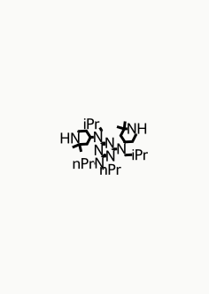 CCCN(CCC)c1nc(N(CC(C)C)C2CCNC(C)(C)C2)nc(N(CC(C)C)C2CCNC(C)(C)C2)n1